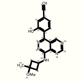 C#Cc1ccc(-c2nnc(NC3CC(C)(OC)C3)c3ncncc23)c(O)c1